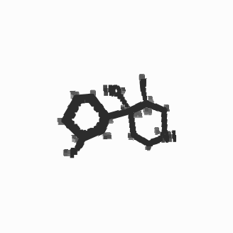 C[C@H]1CNCC[C@@]1(O)c1cccc(F)c1